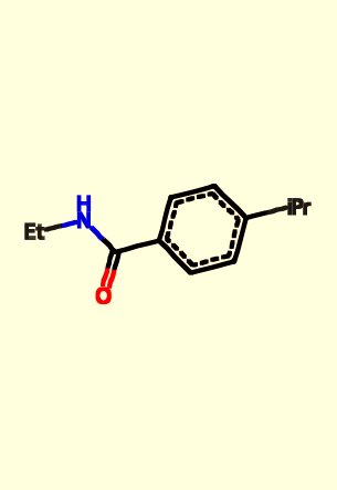 CCNC(=O)c1ccc(C(C)C)cc1